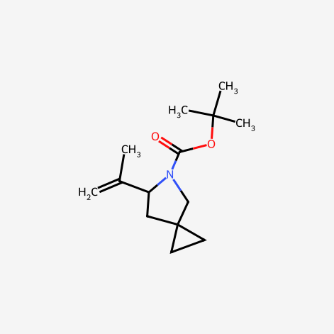 C=C(C)C1CC2(CC2)CN1C(=O)OC(C)(C)C